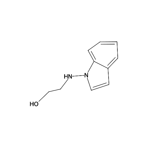 OCCNn1ccc2ccccc21